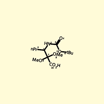 CCCC(NC(=O)OC(C)(C)C)C(OC)(OC)C(=O)O